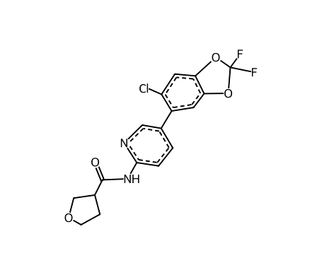 O=C(Nc1ccc(-c2cc3c(cc2Cl)OC(F)(F)O3)cn1)C1CCOC1